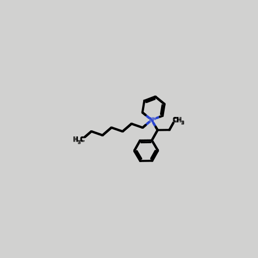 CCCCCCC[N+]1(C(CC)c2ccccc2)C=CC=CC1